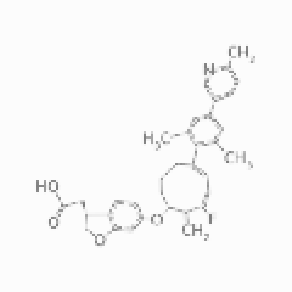 C=C1/C(F)=C\C=C(\c2c(C)cc(-c3ccc(C)nc3)cc2C)CCC[C@H]1Oc1ccc2c(c1)OC[C@H]2CC(=O)O